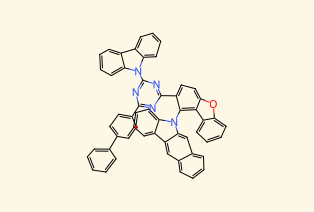 c1ccc(-c2ccc(-c3nc(-c4ccc5oc6ccccc6c5c4-n4c5ccccc5c5cc6ccccc6cc54)nc(-n4c5ccccc5c5ccccc54)n3)cc2)cc1